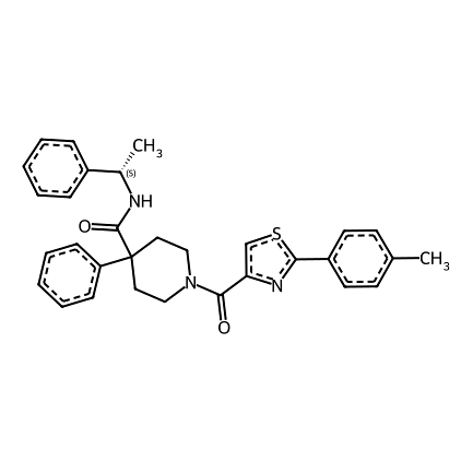 Cc1ccc(-c2nc(C(=O)N3CCC(C(=O)N[C@@H](C)c4ccccc4)(c4ccccc4)CC3)cs2)cc1